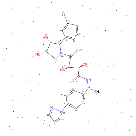 C[C@@H](NC(=O)[C@H](O)[C@@H](O)C(=O)N1C[C@H](O)[C@H](O)C1c1cccc(Cl)c1)c1ccc(-n2cccn2)cc1